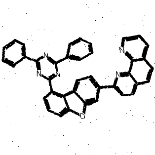 c1ccc(-c2nc(-c3ccccc3)nc(-c3cccc4oc5cc(-c6ccc7ccc8cccnc8c7n6)ccc5c34)n2)cc1